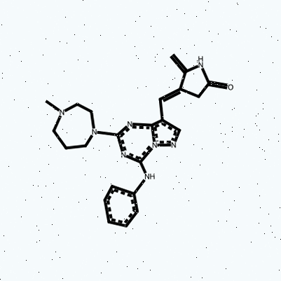 C=C1NC(=O)C/C1=C\c1cnn2c(Nc3ccccc3)nc(N3CCCN(C)CC3)nc12